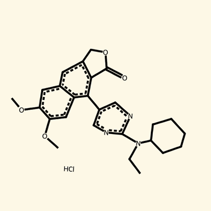 CCN(c1ncc(-c2c3c(cc4cc(OC)c(OC)cc24)COC3=O)cn1)C1CCCCC1.Cl